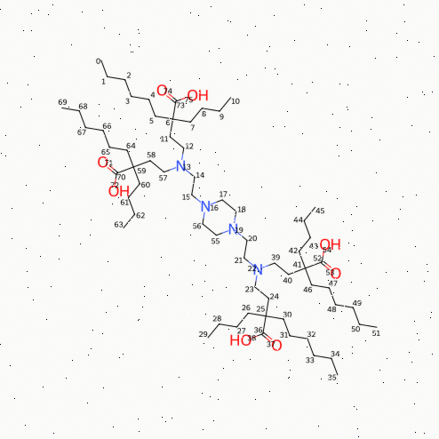 CCCCCCC(CCCC)(CCN(CCN1CCN(CCN(CCC(CCCC)(CCCCCC)C(=O)O)CCC(CCCC)(CCCCCC)C(=O)O)CC1)CCC(CCCC)(CCCCCC)C(=O)O)C(=O)O